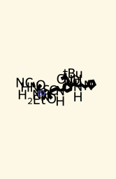 CCn1c(=O)c(=C=CNc2ccc(C(=O)NCCN3CCCC3)c(NC(=O)C(C)(C)C)c2)s/c1=C(/N)C(=O)NCC#N